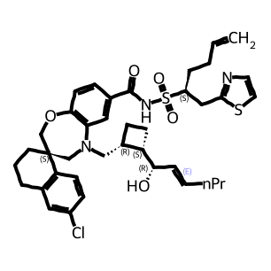 C=CCC[C@@H](Cc1nccs1)S(=O)(=O)NC(=O)c1ccc2c(c1)N(C[C@@H]1CC[C@@H]1[C@@H](O)/C=C/CCC)C[C@@]1(CCCc3cc(Cl)ccc31)CO2